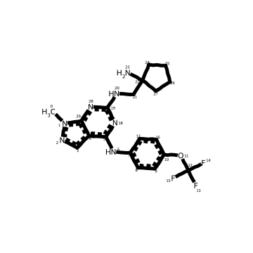 Cn1ncc2c(Nc3ccc(OC(F)(F)F)cc3)nc(NCC3(N)CCCC3)nc21